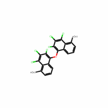 CCCCCCCCc1cccc2c(Oc3c(Cl)c(Cl)c(Cl)c4c(CCCCCCCC)cccc34)c(Cl)c(Cl)c(Cl)c12